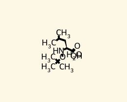 CC(C)C[C@H](NOC(C)(C)C)C(=O)O.O